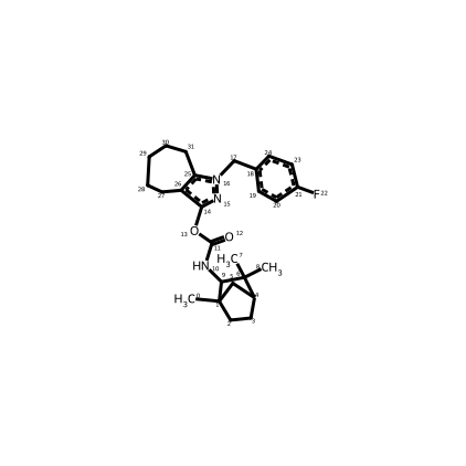 CC12CCC(C1)C(C)(C)C2NC(=O)Oc1nn(Cc2ccc(F)cc2)c2c1CCCCC2